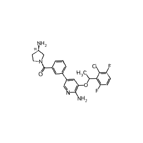 CC(Oc1cc(-c2cccc(C(=O)N3CC[C@@H](N)C3)c2)cnc1N)c1c(F)ccc(F)c1Cl